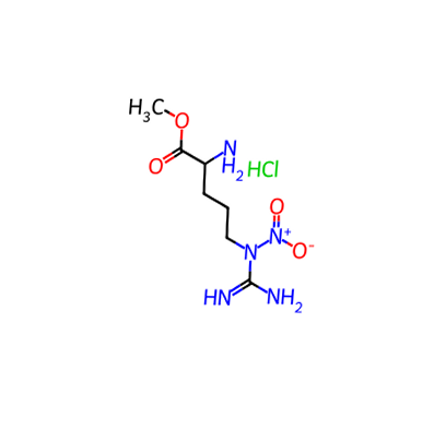 COC(=O)C(N)CCCN(C(=N)N)[N+](=O)[O-].Cl